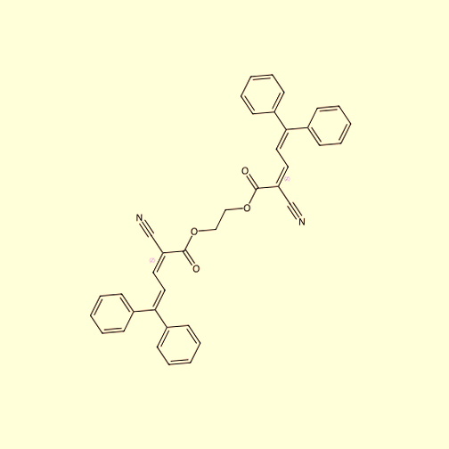 N#C/C(=C/C=C(c1ccccc1)c1ccccc1)C(=O)OCCOC(=O)/C(C#N)=C\C=C(c1ccccc1)c1ccccc1